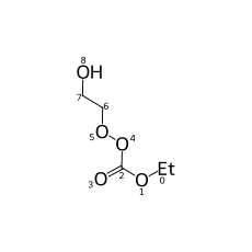 CCOC(=O)OOCCO